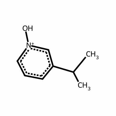 CC(C)c1ccc[n+](O)c1